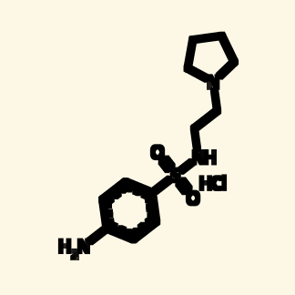 Cl.Nc1ccc(S(=O)(=O)NCCN2CCCC2)cc1